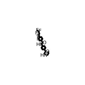 O=C(Nc1ccc(C2CNCCO2)cc1)c1ccc(OCC(F)(F)F)nc1